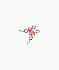 CCCc1ccc(C(=O)OC(=C(OC(=O)c2ccc(CCC)cc2)c2ccccc2C)c2ccccc2C)cc1